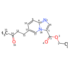 CCOC(=O)c1cnc2ccc(CCC(C)=O)cn12